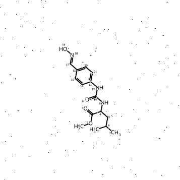 COC(=O)C(CC(C)C)NC(=O)Nc1ccc(C=NO)cc1